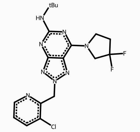 CC(C)(C)Nc1nc(N2CCC(F)(F)C2)c2nn(Cc3ncccc3Cl)nc2n1